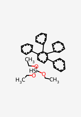 CCO[SiH](OCC)OCC.c1ccc(-c2ccc(-c3ccccc3)c(-c3ccccc3)c2-c2ccccc2)cc1